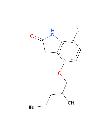 CCC(C)CCC(C)COc1ccc(Cl)c2c1CC(=O)N2